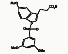 COc1cc(OC)cc(S(=O)(=O)n2cc(CCC(=O)O)c3cc(OC)ccc32)c1